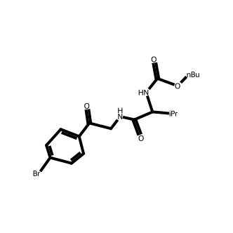 CCCCOC(=O)NC(C(=O)NCC(=O)c1ccc(Br)cc1)C(C)C